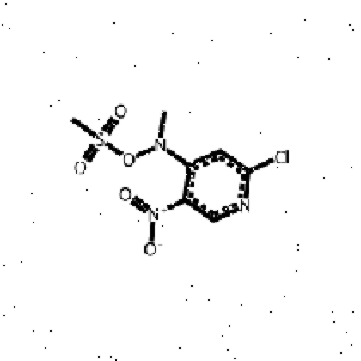 CN(OS(C)(=O)=O)c1cc(Cl)ncc1[N+](=O)[O-]